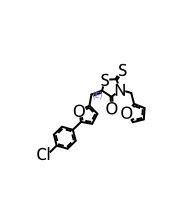 O=C1/C(=C\c2ccc(-c3ccc(Cl)cc3)o2)SC(=S)N1Cc1ccco1